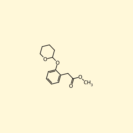 COC(=O)Cc1ccccc1OC1CCCCO1